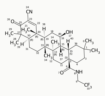 CC1(C)CC[C@]2(C(=O)NCC(F)(F)F)CC[C@]3(C)[C@H]([C@H](O)C[C@@H]4[C@@]5(C)C=C(C#N)C(=O)C(C)(C)[C@@H]5CC[C@]43C)[C@@H]2C1